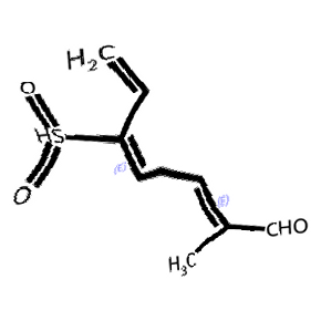 C=C/C(=C\C=C(/C)C=O)[SH](=O)=O